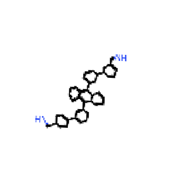 N=CC1=CC=CC(C2C=CC=C(C3=c4ccccc4=C(C4=CC(C5=CCC(C=N)C=C5)=CCC4)C4C=CC=CC34)C2)C1